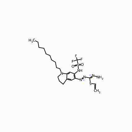 C=CSC(=N\N)/N=N/c1cc2c(cc1NS(=O)(=O)C(F)(F)F)N(CCCCCCCCCC)CCC2